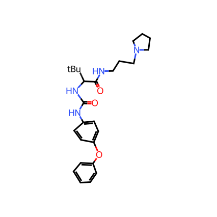 CC(C)(C)C(NC(=O)Nc1ccc(Oc2ccccc2)cc1)C(=O)NCCCN1CCCC1